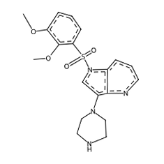 COc1cccc(S(=O)(=O)n2cc(N3CCNCC3)c3ncccc32)c1OC